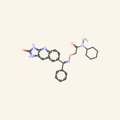 CN(C(=O)CO/N=C(/c1ccccc1)c1ccc2nc3[nH]c(=O)[nH]c3cc2c1)C1CCCCC1